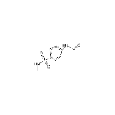 CNS(=O)(=O)c1ccc(NC=O)cc1